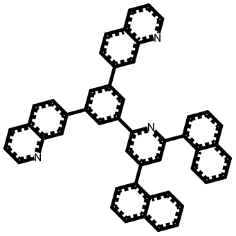 c1cnc2cc(-c3cc(-c4ccc5cccnc5c4)cc(-c4cc(-c5cccc6ccccc56)cc(-c5cccc6ccccc56)n4)c3)ccc2c1